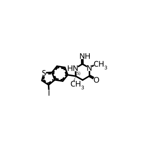 CN1C(=N)N[C@](C)(c2ccc3scc(I)c3c2)CC1=O